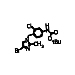 Cc1nc(Br)cn1Cc1ccc(NC(=O)OC(C)(C)C)cc1Cl